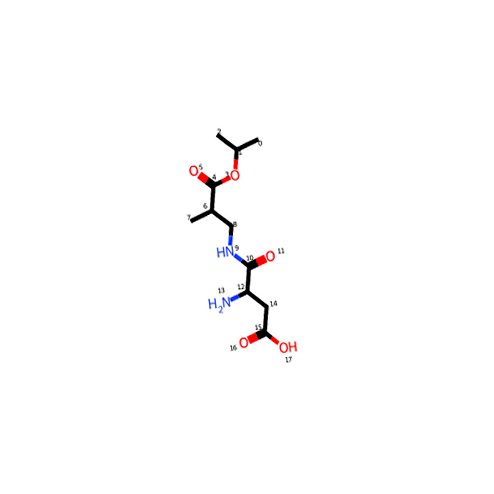 CC(C)OC(=O)C(C)CNC(=O)C(N)CC(=O)O